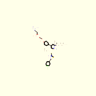 CNc1nc(SCc2csc(-c3ccc(Cl)cc3)n2)c(C#N)c(-c2ccc(OCCOC(=O)CCN)cc2)c1C#N